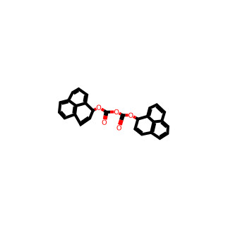 O=C(OC(=O)OC1C=Cc2cccc3cccc1c23)OC1C=Cc2cccc3cccc1c23